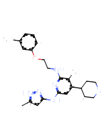 [C-]#[N+]c1c(C2CCNCC2)cc(Nc2cc(C)[nH]n2)nc1NCCOc1cccc(C#N)c1